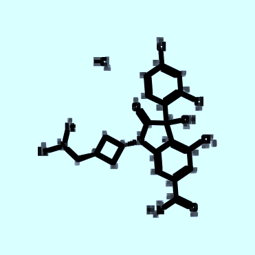 CCN(CC)C[C@H]1C[C@H](N2C(=O)C(O)(c3ccc(Cl)cc3Cl)c3c2cc(C(N)=O)cc3C(F)(F)F)C1.Cl